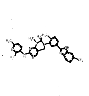 C=C1N(C)c2nc(Nc3ccc(C)nc3C)ncc2CN1c1cc(-c2nc3ccc(C(F)(F)F)cc3[nH]2)ccc1C